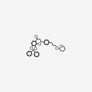 O=C1CC(c2ccc(CCCOC3CCCCO3)cc2)Oc2c1ccc1c2OC(c2ccccc2)(c2ccccc2)O1